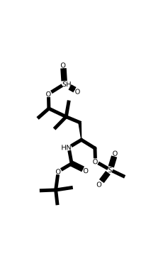 CC(O[SH](=O)=O)C(C)(C)C[C@@H](COS(C)(=O)=O)NC(=O)OC(C)(C)C